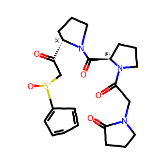 O=C(C[S+]([O-])c1ccccc1)[C@@H]1CCCN1C(=O)[C@H]1CCCN1C(=O)CN1CCCC1=O